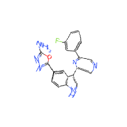 Nc1nnc(-c2ccc3[nH]cc(-c4cncc(-c5cccc(F)c5)n4)c3c2)o1